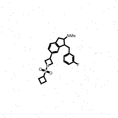 CNC1Cc2ccc(C3CN(S(=O)(=O)C4CCC4)C3)cc2C1Cc1cccc(F)c1